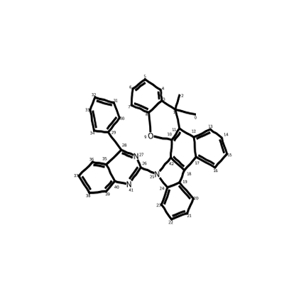 CC1(C)c2ccccc2Oc2c1c1ccccc1c1c3ccccc3n(-c3nc(-c4ccccc4)c4ccccc4n3)c21